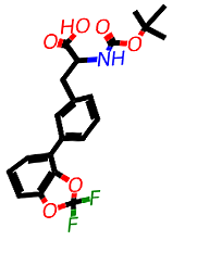 CC(C)(C)OC(=O)NC(Cc1cccc(-c2cccc3c2OC(F)(F)O3)c1)C(=O)O